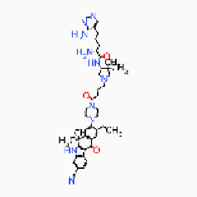 CCc1cc2c(cc1N1CCN(C(=O)CCCN3C[C@H](NC(=O)[C@@H](N)CCCc4cncnc4N)C(C)(C)C3)CC1)C(C)(C)c1[nH]c3cc(C#N)ccc3c1C2=O